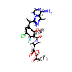 Cc1nc(C(C)c2cc(Cl)c(F)c(C(=O)N3CC(C(=O)OC(=O)C(F)(F)F)C3)c2OC(C)C)n2ccnc(N)c12